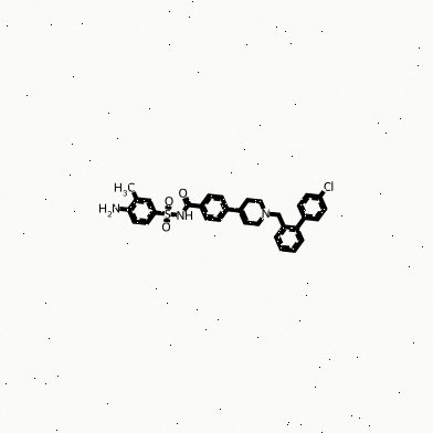 Cc1cc(S(=O)(=O)NC(=O)c2ccc(C3=CCN(Cc4ccccc4-c4ccc(Cl)cc4)CC3)cc2)ccc1N